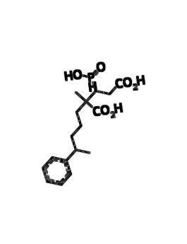 CC(CCCC(C)(C(=O)O)C(CC(=O)O)[PH](=O)O)c1ccccc1